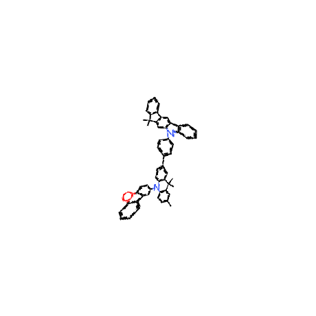 Cc1ccc2c(c1)C(C)(C)c1cc(-c3ccc(-n4c5ccccc5c5cc6c(cc54)C(C)(C)c4ccccc4-6)cc3)ccc1N2c1ccc2oc3ccccc3c2c1